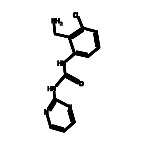 NCc1c(Cl)cccc1NC(=O)Nc1ncccn1